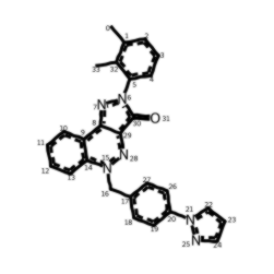 Cc1cccc(-n2nc3c4ccccc4n(Cc4ccc(-n5cccn5)cc4)nc-3c2=O)c1C